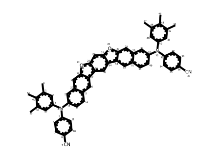 Cc1cc(N(c2ccc(C#N)cc2)c2ccc3cc4c(cc3c2)oc2cc3oc5cc6cc(N(c7ccc(C#N)cc7)c7cc(C)c(C)c(C)c7)ccc6cc5c3cc24)cc(C)c1C